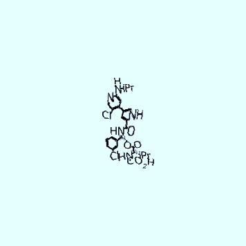 CC(C)Nc1cc(-c2c[nH]c(C(=O)N[C@H](COC(=O)[C@@H](NC(=O)O)C(C)C)c3cccc(Cl)c3)c2)c(Cl)cn1